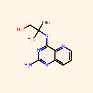 CCCCC(C)(CO)Nc1nc(N)nc2cccnc12